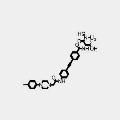 C[C@@H](O)[C@H](NC(=O)c1ccc(C#Cc2ccc(NC(=O)CN3CCN(c4ccc(F)cc4)CC3)cc2)cc1)C(=O)NO